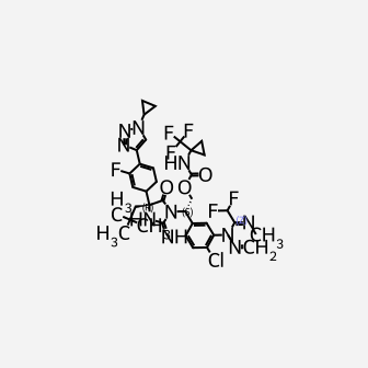 C=NN(/C(=N\C)C(F)F)c1cc([C@@H](COC(=O)NC2(C(F)(F)F)CC2)N2C(=N)N[C@](CC(C)(C)C)(C3C=C(F)C(c4cn(C5CC5)nn4)=CC3)C2=O)ccc1Cl